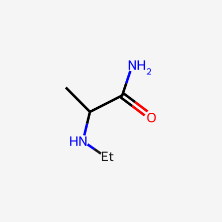 CCNC(C)C(N)=O